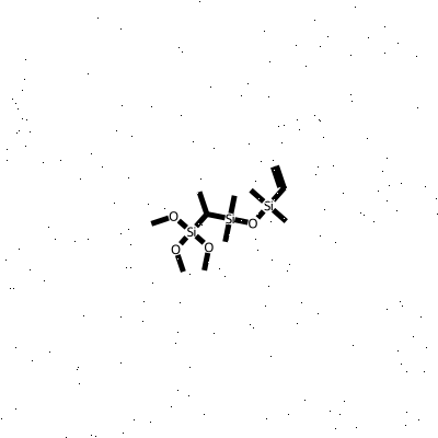 C=C[Si](C)(C)O[Si](C)(C)C(C)[Si](OC)(OC)OC